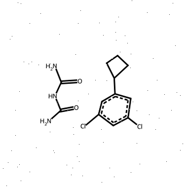 Clc1cc(Cl)cc(C2CCC2)c1.NC(=O)NC(N)=O